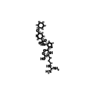 NC(N)NCCC[C@H](NC(=O)c1sccc1NS(=O)(=O)c1ccc(Oc2ccccc2)nc1)C(=O)O